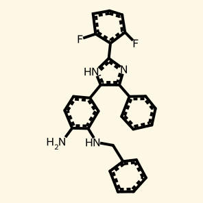 Nc1ccc(-c2[nH]c(-c3c(F)cccc3F)nc2-c2ccccc2)cc1NCc1ccccc1